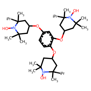 CC(C)C1(C)CC(Oc2ccc(OC3CC(C)(C)N(O)C(C)(C(C)C)C3)c(OC3CC(C)(C)N(O)C(C)(C(C)C)C3)c2)CC(C)(C)N1O